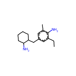 CCc1cc(CC2CCCCC2N)cc(C)c1N